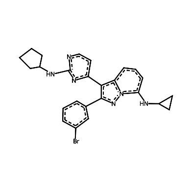 Brc1cccc(-c2nn3c(NC4CC4)cccc3c2-c2ccnc(NC3CCCC3)n2)c1